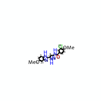 COc1ccc2[nH]c(-c3cc(NC(=O)c4ccc(OC)c(Cl)c4)n[nH]3)nc2c1